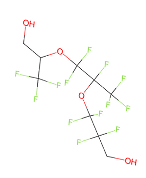 OCC(OC(F)(F)C(F)(OC(F)(F)C(F)(F)CO)C(F)(F)F)C(F)(F)F